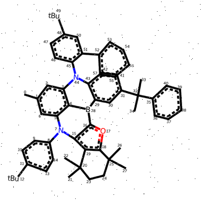 Cc1cc2c3c(c1)N(c1ccc(C(C)(C)C)cc1)c1c(oc4c1C(C)(C)CCC4(C)C)B3c1cc(C(C)(C)c3ccccc3)ccc1N2c1ccc(C(C)(C)C)cc1-c1ccccc1